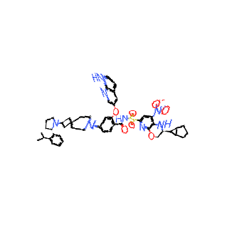 CC(C)c1ccccc1[C@@H]1CCCN1C1CC2(CCN(c3ccc(C(=O)NS(=O)(=O)c4cc([N+](=O)[O-])c5c(n4)OC[C@H](C4C6CCCC64)N5)c(Oc4cnc5[nH]ccc5c4)c3)CC2)C1